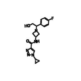 O=C(NC1CN(C(CO)c2ccc(F)cc2)C1)c1cn(C2CC2)nn1